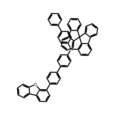 c1ccc(-c2ccc(N(c3ccc(-c4ccc(-c5cccc6c5oc5ccccc56)cc4)cc3)c3cccc4c3C3(c5ccccc5-c5ccccc53)c3ccccc3-4)cc2)cc1